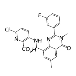 Cc1cc(C(C)Nc2ccc(Cl)nc2C(=O)O)c2nc(-c3cccc(F)c3)n(C)c(=O)c2c1